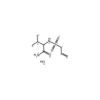 C=CCS(=O)(=O)NC(C(N)=O)C(C)C.Cl